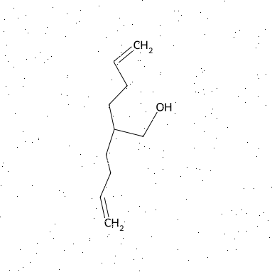 C=CCCC(CO)CCC=C